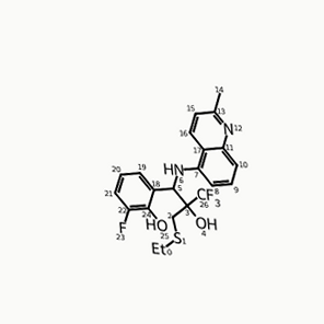 CCSCC(O)(C(Nc1cccc2nc(C)ccc12)c1cccc(F)c1O)C(F)(F)F